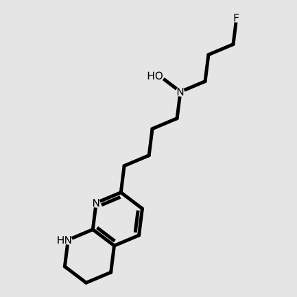 ON(CCCF)CCCCc1ccc2c(n1)NCCC2